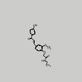 CCNC(=O)COc1ccc(/C=C/C(=O)c2ccc(O)cc2)cc1OC